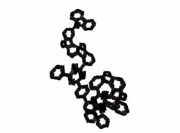 c1ccc(-c2nc(-c3ccc(-c4ccc5c6ccccc6n(-c6ccc7oc8ccc9oc%10cccc(-c%11nc(-c%12ccccc%12)nc(-c%12ccccc%12)n%11)c%10c9c8c7c6)c5c4)cc3)nc(-c3cccc4oc5c(ccc6oc7ccc(-n8c9ccccc9c9ccccc98)cc7c65)c34)n2)cc1